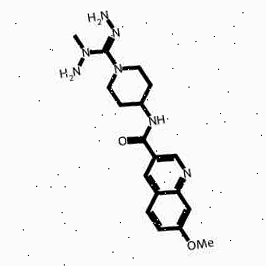 COc1ccc2cc(C(=O)NC3CCN(/C(=N/N)N(C)N)CC3)cnc2c1